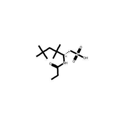 CCC(=O)N[C@@H](CS(=O)(=O)O)C(C)(C)CC(C)(C)C